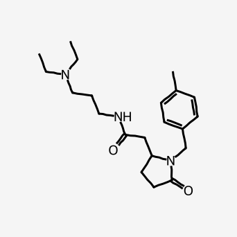 CCN(CC)CCCNC(=O)CC1CCC(=O)N1Cc1ccc(C)cc1